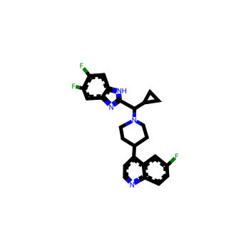 Fc1ccc2nccc(C3CCN(C(c4nc5cc(F)c(F)cc5[nH]4)C4CC4)CC3)c2c1